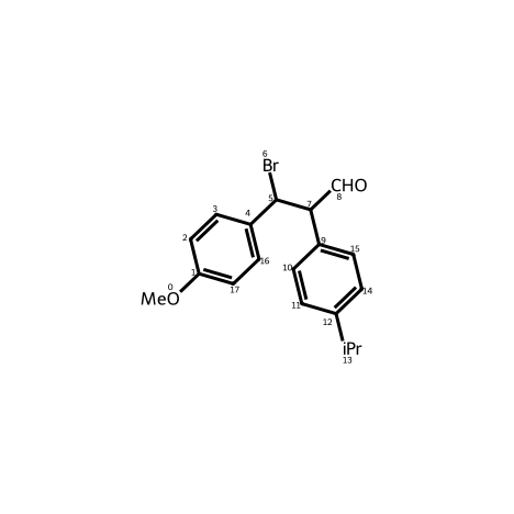 COc1ccc(C(Br)C(C=O)c2ccc(C(C)C)cc2)cc1